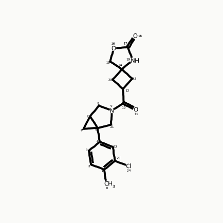 Cc1ccc(C23CC2CN(C(=O)C2CC4(COC(=O)N4)C2)C3)cc1Cl